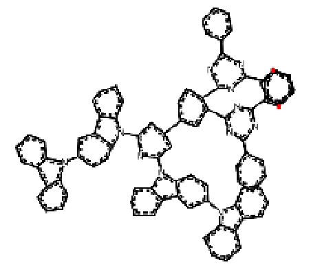 c1ccc(-c2nc(-c3ccccc3)nc(-c3ccc(-c4cc(-n5c6ccccc6c6cc(-n7c8ccccc8c8ccccc87)ccc65)nc(-n5c6ccccc6c6cc(-n7c8ccccc8c8ccccc87)ccc65)c4)cc3-c3nc(-c4ccccc4)nc(-c4ccccc4)n3)n2)cc1